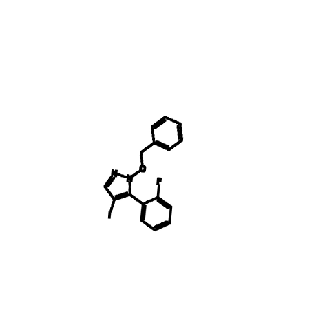 Fc1ccccc1-c1c(I)cnn1OCc1ccccc1